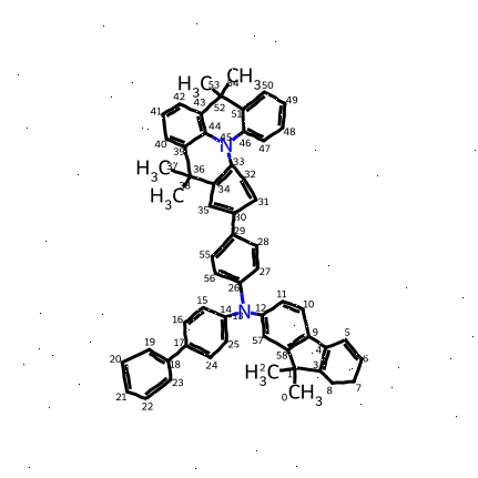 CC1(C)C2=C(C=CCC2)c2ccc(N(c3ccc(-c4ccccc4)cc3)c3ccc(-c4ccc5c(c4)C(C)(C)c4cccc6c4N5c4ccccc4C6(C)C)cc3)cc21